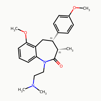 COc1ccc([C@H]2Cc3c(OC)cccc3N(CCN(C)C)C(=O)[C@H]2C)cc1